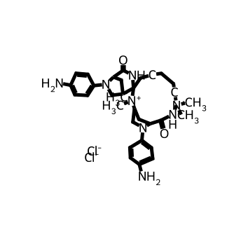 C[N+]1(C)CCCCCC2(NC(=O)C3CC2CN3c2ccc(N)cc2)[N+](C)(C)C2CC(C(=O)N1)N(c1ccc(N)cc1)C2.[Cl-].[Cl-]